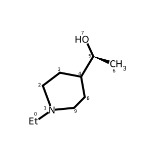 CCN1CCC([C@H](C)O)CC1